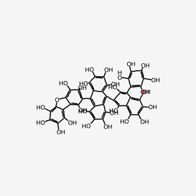 Oc1c(O)c(O)c(-c2c(O)c(-c3c4c(O)c(O)c(O)c(O)c4c(-c4c(O)c(O)c5oc6c(O)c(O)c(O)c(O)c6c5c4O)c4c(O)c(O)c(O)c(O)c34)c(O)c3c(O)c(O)c(O)c(O)c23)c(O)c1O